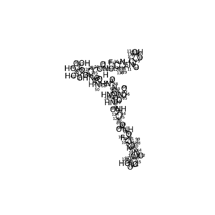 C=C1OCc2c(cc3n(c2=O)Cc2c-3nc3cc(F)c(OCNC(=O)OCc4ccc(O[C@@H]5O[C@H](C(=O)O)[C@@H](O)[C@H](O)[C@H]5O)c(NC(=O)CN(C)C(=O)CCNC(=O)CN(CCN5C(=O)C=CC5=O)CC(=O)N[C@@H](C)C(=O)N[C@@H](C)C(=O)Nc5ccc(COC(=O)NCOc6cc7c(CC)c8c(nc7cc6F)-c6cc7c(c(=O)n6C8)COC(=O)[C@]7(O)CC)cc5)c4)cc3c2CC)[C@@]1(O)CC